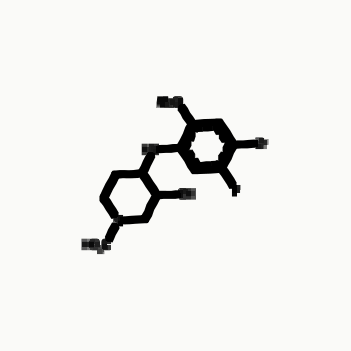 COc1cc(Br)c(F)cc1NC1CCN(C(=O)O)CC1O